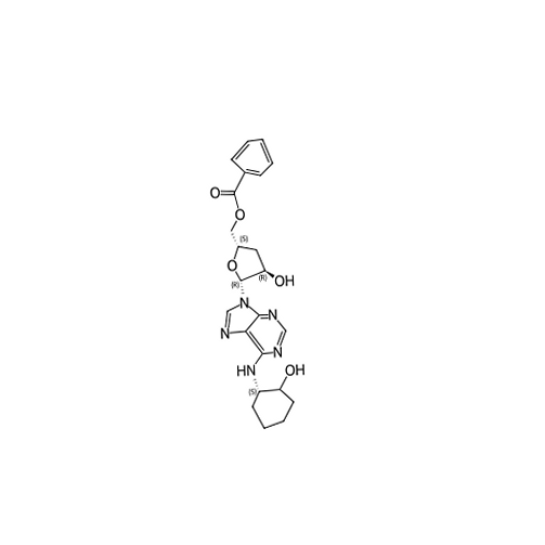 O=C(OC[C@@H]1C[C@@H](O)[C@H](n2cnc3c(N[C@H]4CCCCC4O)ncnc32)O1)c1ccccc1